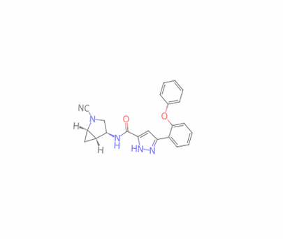 N#CN1C[C@@H](NC(=O)c2cc(-c3ccccc3Oc3ccccc3)n[nH]2)[C@@H]2C[C@@H]21